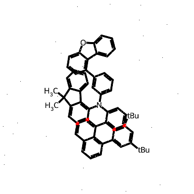 CC(C)(C)c1cc(-c2cccc3cccc(-c4ccccc4N(c4cccc(-c5cccc6oc7ccccc7c56)c4)c4cccc5c4-c4ccccc4C5(C)C)c23)cc(C(C)(C)C)c1